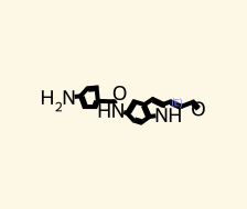 Nc1ccc(C(=O)Nc2ccc3[nH]c(/C=C/C=O)cc3c2)cc1